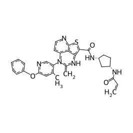 C=CC(=O)N[C@H]1CC[C@@H](NC(=O)c2sc3nccc4c3c2[nH]c(=C)n4-c2cnc(Oc3ccccc3)cc2C)C1